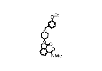 CCOc1cccc(CN2CCC(N3Cc4cccc(C(=O)NC)c4C3=O)CC2)c1